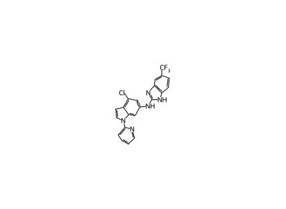 FC(F)(F)c1ccc2[nH]c(Nc3cc(Cl)c4ccn(-c5ccccn5)c4c3)nc2c1